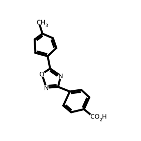 Cc1ccc(-c2nc(-c3ccc(C(=O)O)cc3)no2)cc1